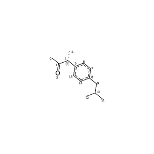 CC(=O)[C@H](C)c1ccc(CC(C)C)cc1